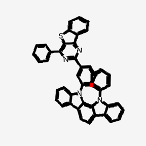 c1ccc(-c2nc(-c3cccc(-n4c5ccccc5c5ccc6c7ccccc7n(-c7ccccc7)c6c54)c3)nc3c2sc2ccccc23)cc1